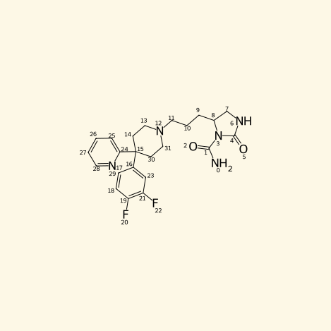 NC(=O)N1C(=O)NCC1CCCN1CCC(c2ccc(F)c(F)c2)(c2ccccn2)CC1